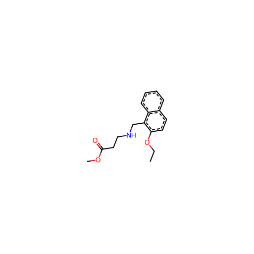 CCOc1ccc2ccccc2c1CNCCC(=O)OC